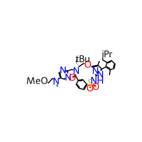 COCCN(C)c1cnc(CN2C(=O)c3cccc(c3)S(=O)(=O)Nc3nc(c(C)c(-c4c(C)cccc4CC(C)C)n3)OC[C@H]2CC(C)(C)C)nc1